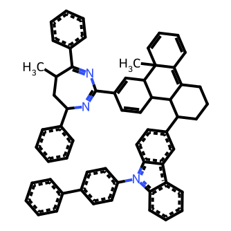 CC1CC(c2ccccc2)N=C(C2=CC3C(C=C2)C2C(=C4C=CC=CC43C)CCCC2c2ccc3c(c2)c2ccccc2n3-c2ccc(-c3ccccc3)cc2)N=C1c1ccccc1